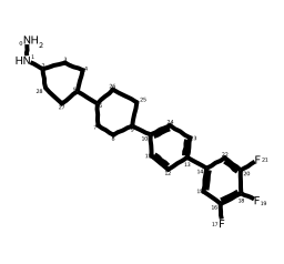 NNC1CCC(C2CCC(c3ccc(-c4cc(F)c(F)c(F)c4)cc3)CC2)CC1